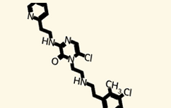 Cc1c(Cl)cccc1CCNCCn1c(Cl)cnc(NCCc2ccccn2)c1=O